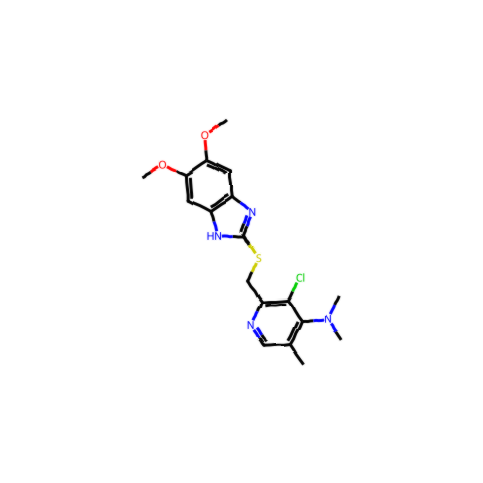 COc1cc2nc(SCc3ncc(C)c(N(C)C)c3Cl)[nH]c2cc1OC